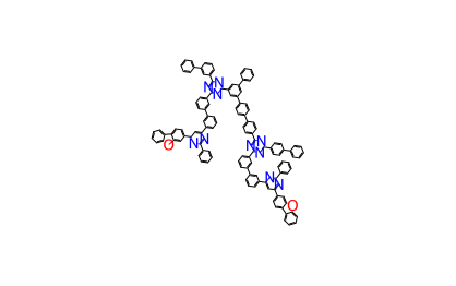 c1ccc(-c2ccc(-c3nc(-c4ccc(-c5ccc(-c6cc(-c7ccccc7)cc(-c7nc(-c8cccc(-c9ccccc9)c8)nc(-c8cccc(-c9cccc(-c%10cc(-c%11ccc%12c(c%11)oc%11ccccc%11%12)nc(-c%11ccccc%11)n%10)c9)c8)n7)c6)cc5)cc4)nc(-c4cccc(-c5cccc(-c6cc(-c7ccc8c(c7)oc7ccccc78)nc(-c7ccccc7)n6)c5)c4)n3)cc2)cc1